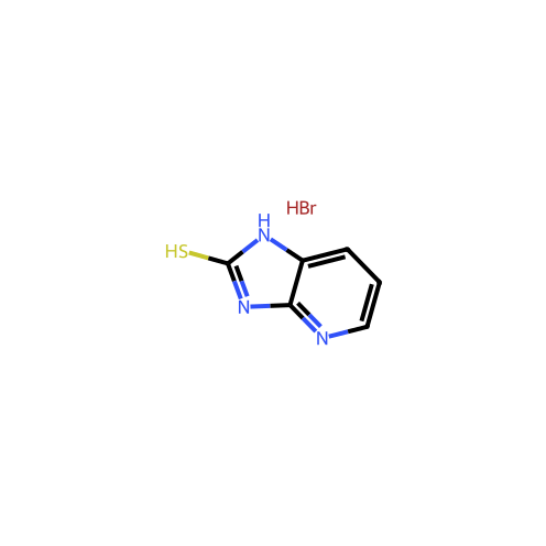 Br.Sc1nc2ncccc2[nH]1